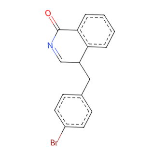 O=C1N=CC(Cc2ccc(Br)cc2)c2ccccc21